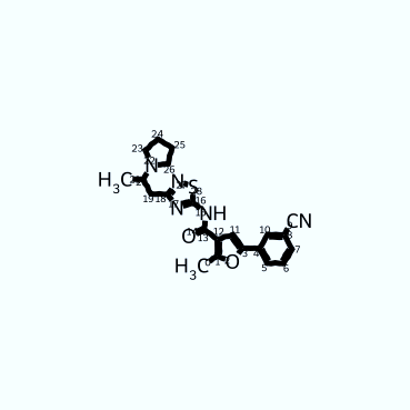 Cc1oc(-c2cccc(C#N)c2)cc1C(=O)Nc1nc(CC(C)N2CCCC2)ns1